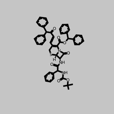 CC(C)(C)OC(=O)NC(C(=O)N[C@@H]1C(=O)N2C(C(=O)OC(c3ccccc3)c3ccccc3)=C(C=CC(=O)C(c3ccccc3)c3ccccc3)CS[C@@H]12)c1ccccc1